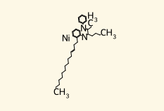 CCCCCCCCCCCC=CCCc1ccccc1N=C(CCCC)C(CC)=Nc1ccccc1.[Ni]